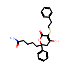 NC(=O)CCCCC1(c2ccccc2)CC(O)=C(SCCc2ccccc2)C(=O)O1